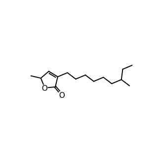 CCC(C)CCCCCCC1=CC(C)OC1=O